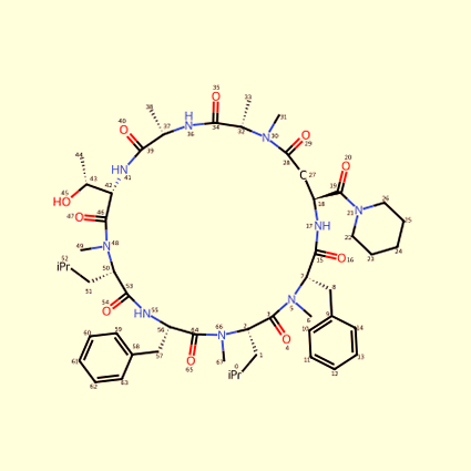 CC(C)C[C@H]1C(=O)N(C)[C@@H](Cc2ccccc2)C(=O)N[C@H](C(=O)N2CCCCC2)CC(=O)N(C)[C@@H](C)C(=O)N[C@@H](C)C(=O)N[C@@H]([C@@H](C)O)C(=O)N(C)[C@@H](CC(C)C)C(=O)N[C@@H](Cc2ccccc2)C(=O)N1C